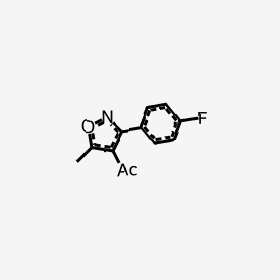 CC(=O)c1c(-c2ccc(F)cc2)noc1C